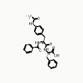 CC(=O)Nc1ccc(C[C@H](NC(=O)c2ccccc2)C(=O)N[C@@H](Cc2ccccc2)C(=O)O)cc1